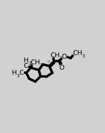 CCOC(=O)/C(C)=C1\CCC2CCC(C)C(C)(C)C2C1